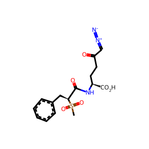 CS(=O)(=O)[C@@H](Cc1ccccc1)C(=O)N[C@@H](CCC(=O)C=[N+]=[N-])C(=O)O